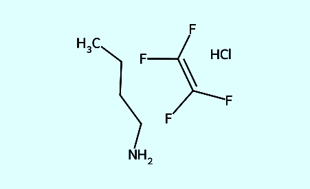 CCCCN.Cl.FC(F)=C(F)F